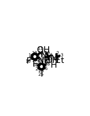 CCC(C)(C)NCC1(O)CN(C(O)c2ccc(F)c(F)c2Nc2ccc(I)cc2F)C1